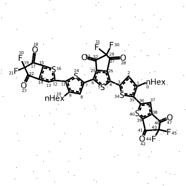 CCCCCCc1cc(-c2sc(-c3cc(CCCCCC)c(-c4cc5c(s4)C(=O)C(F)(F)C5=O)s3)c3c2C(=O)C(F)(F)C3=O)sc1-c1cc2c(s1)C(=O)C(F)(F)C2=O